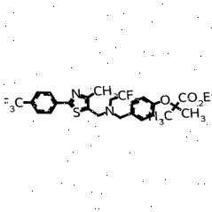 CCOC(=O)C(C)(C)Oc1ccc(CN(Cc2sc(-c3ccc(C(F)(F)F)cc3)nc2C)CC(F)(F)F)cc1